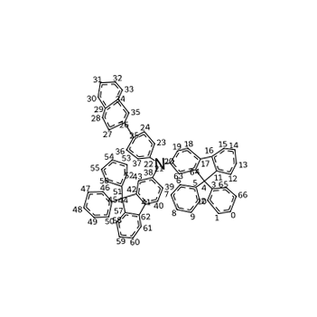 c1ccc(C2(c3ccccc3)c3ccccc3-c3ccc(N(c4ccc(-c5ccc6ccccc6c5)cc4)c4ccc5c(c4)C(c4ccccc4)(c4ccccc4)c4ccccc4-5)cc32)cc1